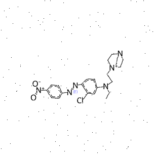 CCN(CC[N+]12CCN(CC1)CC2)c1ccc(/N=N/c2ccc([N+](=O)[O-])cc2)c(Cl)c1